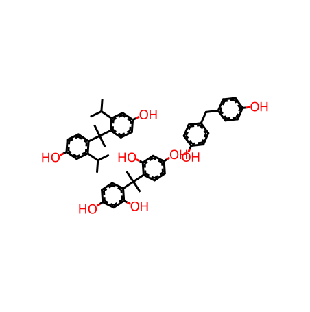 CC(C)(c1ccc(O)cc1O)c1ccc(O)cc1O.CC(C)c1cc(O)ccc1C(C)(C)c1ccc(O)cc1C(C)C.Oc1ccc(Cc2ccc(O)cc2)cc1